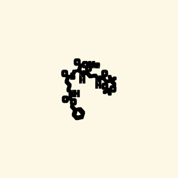 COC(=O)[C@H](CSC(=O)CCCNC(=O)OCc1ccccc1)NC(=O)CCNC(=O)[C@@H]1OC(C)(C)OCC1(C)C